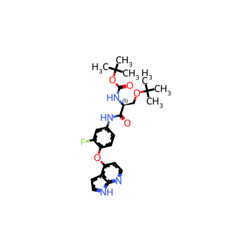 CC(C)(C)OC[C@H](NC(=O)OC(C)(C)C)C(=O)Nc1ccc(Oc2ccnc3[nH]ccc23)c(F)c1